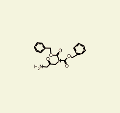 NCC(=O)CN(C(=O)OCc1ccccc1)C(=O)OCc1ccccc1